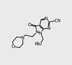 CC(C)(C)Cn1c2nc(C#N)ncc2c(=O)n1CCN1CCOCC1